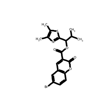 Cc1nc(C(OC(=O)c2cc3cc(Br)ccc3oc2=O)C(C)C)sc1C